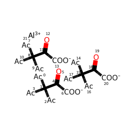 CC(=O)C(C(C)=O)(C(C)=O)C(=O)C(=O)[O-].CC(=O)C(C(C)=O)(C(C)=O)C(=O)C(=O)[O-].CC(=O)C(C(C)=O)(C(C)=O)C(=O)C(=O)[O-].[Al+3]